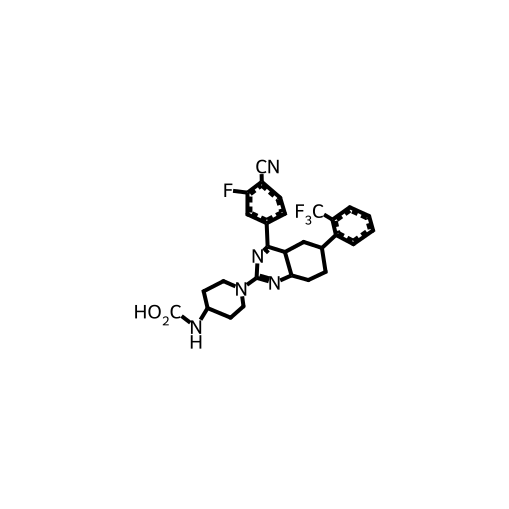 N#Cc1ccc(C2=NC(N3CCC(NC(=O)O)CC3)=NC3CCC(c4ccccc4C(F)(F)F)CC23)cc1F